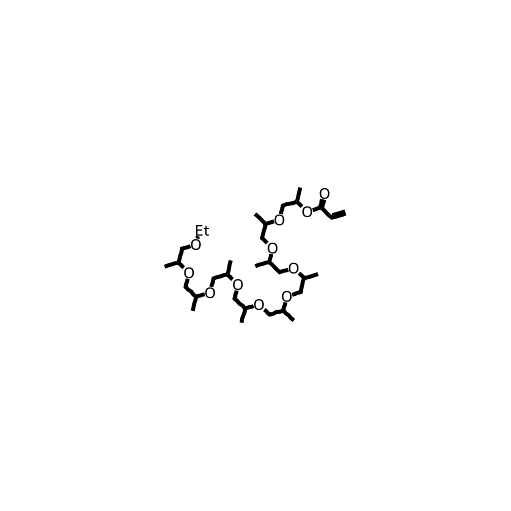 C=CC(=O)OC(C)COC(C)COC(C)COC(C)COC(C)COC(C)COC(C)COC(C)COC(C)COCC